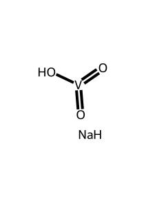 [NaH].[O]=[V](=[O])[OH]